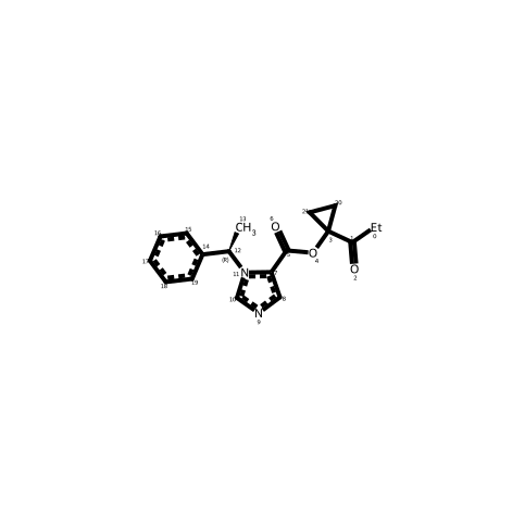 CCC(=O)C1(OC(=O)c2cncn2[C@H](C)c2ccccc2)CC1